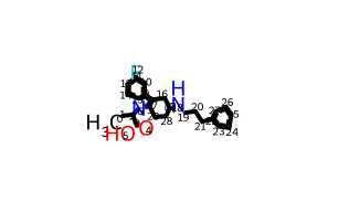 CCC(C(=O)O)n1c2c(c3cc(F)ccc31)C[C@@H](NCCCc1ccccc1)CC2